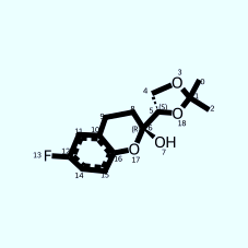 CC1(C)OC[C@@H]([C@@]2(O)CCc3cc(F)ccc3O2)O1